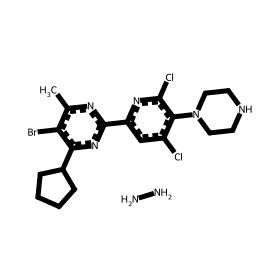 Cc1nc(-c2cc(Cl)c(N3CCNCC3)c(Cl)n2)nc(C2CCCC2)c1Br.NN